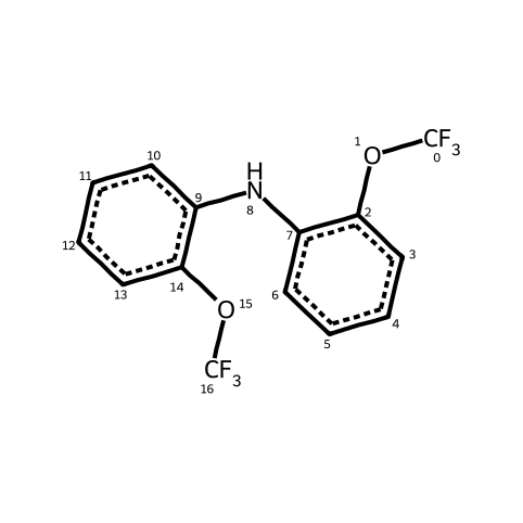 FC(F)(F)Oc1ccccc1Nc1ccccc1OC(F)(F)F